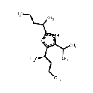 CCCC(C)c1nc(C(C)CCC)c(C(C)C)[nH]1